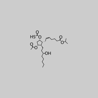 CCCCC[C@H](O)CC[C@@H]1[C@@H](C/C=C\CCCC(=O)OC(C)C)[C@@H](OC(=O)S)C[C@H]1OC(C)=O